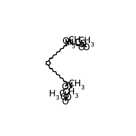 CN(CC/C=C1/OC(=O)OC1(C)C)C(=O)C=CCCCCCC/C=C/C1CCC(C=CCCCCCC/C=C/C(=O)N(C)CC/C=C2/OC(=O)OC2(C)C)C1